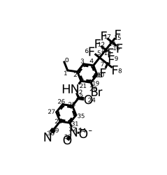 CCc1cc(C(F)(C(F)(F)F)C(F)(F)C(F)(F)F)cc(Br)c1NC(=O)c1ccc(C#N)c([N+](=O)[O-])c1